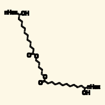 CCCCCCC(O)CCCCCCCCCCC(=O)OCCCCCOC(=O)CCCCCCCCCCC(O)CCCCCC